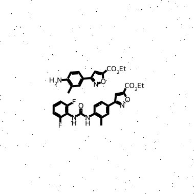 CCOC(=O)c1cc(-c2ccc(N)c(C)c2)no1.CCOC(=O)c1cc(-c2ccc(NC(=O)Nc3c(F)cccc3F)c(C)c2)no1